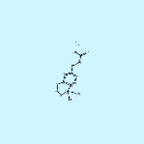 CC(C)(C)OC(=O)COc1ccc2c(c1)CCCC2(C)C